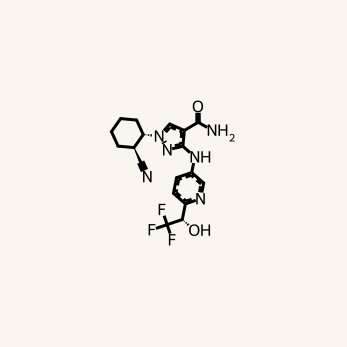 N#C[C@H]1CCCC[C@@H]1n1cc(C(N)=O)c(Nc2ccc([C@H](O)C(F)(F)F)nc2)n1